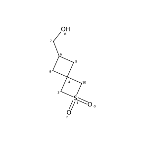 O=S1(=O)CC2(CC(CO)C2)C1